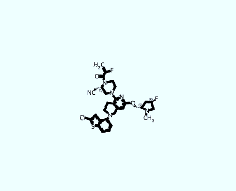 C=C(F)C(=O)N1CCN(c2nc(OC[C@@H]3C[C@@H](F)CN3C)cc3c2CCN(c2cccc4sc(Cl)cc24)C3)C[C@@H]1CC#N